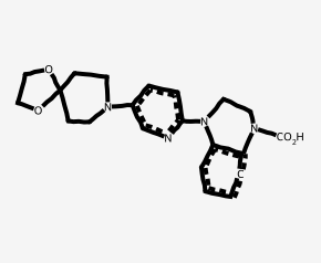 O=C(O)N1CCN(c2ccc(N3CCC4(CC3)OCCO4)cn2)c2ccccc21